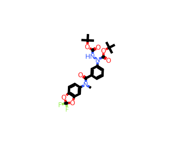 CN(C(=O)c1cccc(N(NC(=O)OC(C)(C)C)C(=O)OC(C)(C)C)c1)c1ccc2c(c1)OC(F)(F)O2